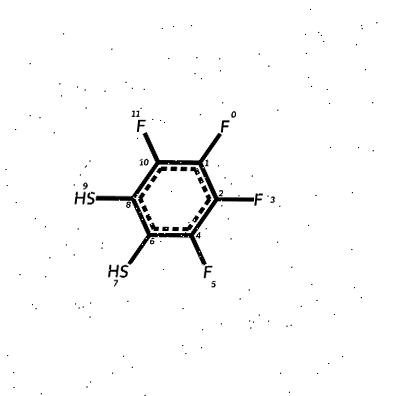 Fc1c(F)c(F)c(S)c(S)c1F